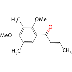 C/C=C/C(=O)c1cc(C)c(OC)c(C)c1OC